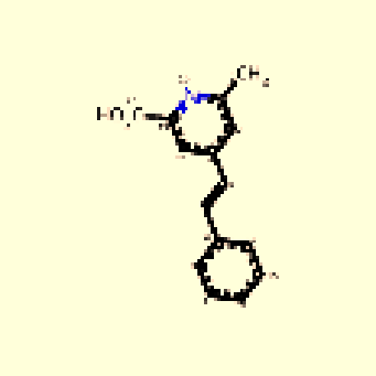 Cc1cc(/C=C/c2ccccc2)cc(C(=O)O)n1